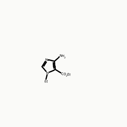 CCOC(=O)c1c(N)ncn1CC